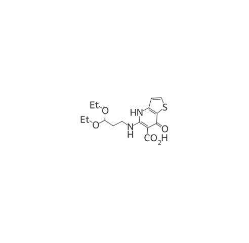 CCOC(CCNc1[nH]c2ccsc2c(=O)c1C(=O)O)OCC